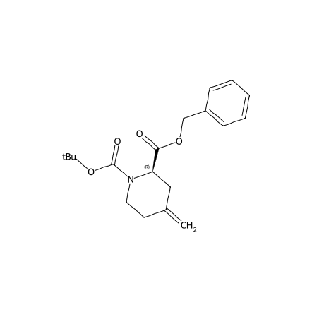 C=C1CCN(C(=O)OC(C)(C)C)[C@@H](C(=O)OCc2ccccc2)C1